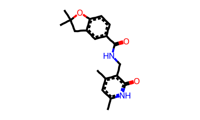 Cc1cc(C)c(CNC(=O)c2ccc3c(c2)CC(C)(C)O3)c(=O)[nH]1